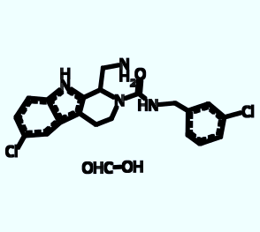 NCC1c2[nH]c3ccc(Cl)cc3c2CCN1C(=O)NCc1cccc(Cl)c1.O=CO